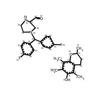 Cc1c(C)c2c(c(C)c1O)CCC(C)O2.O=CC1CN(C(c2ccc(F)cc2)c2ccc(F)cc2)CCN1